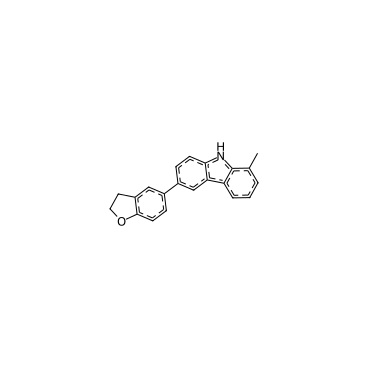 Cc1cccc2c1[nH]c1ccc(-c3ccc4c(c3)CCO4)cc12